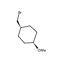 CO[C@H]1CC[C@@H](CBr)CC1